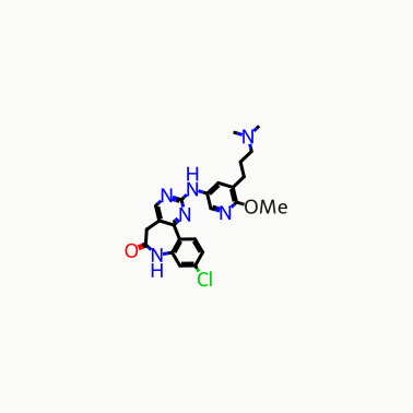 COc1ncc(Nc2ncc3c(n2)-c2ccc(Cl)cc2NC(=O)C3)cc1CCCN(C)C